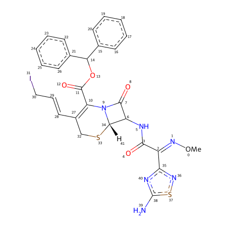 CON=C(C(=O)NC1C(=O)N2C(C(=O)OC(c3ccccc3)c3ccccc3)=C(C=CCI)CS[C@@H]12)c1nsc(N)n1